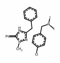 Clc1ccc(CN(I)I)cc1.Cn1nc(Cc2ccccc2)[nH][c]1=[Pt]